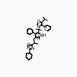 CC(C)c1oc[n+](C(C)(C)c2[nH]nc(CC(C)c3nc(-c4ccccc4)no3)c2-c2ccccc2)c1-c1ccccc1